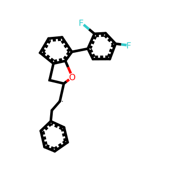 Fc1ccc(-c2cccc3c2OC([CH]Cc2ccccc2)C3)c(F)c1